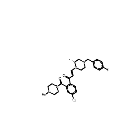 CC(=O)N1CCN(C(=O)c2cc(Cl)ccc2C(=O)/C=C/N2CCN(Cc3ccc(F)cc3)C[C@H]2C)CC1